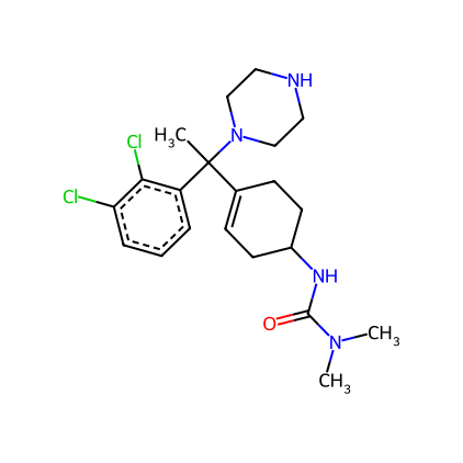 CN(C)C(=O)NC1CC=C(C(C)(c2cccc(Cl)c2Cl)N2CCNCC2)CC1